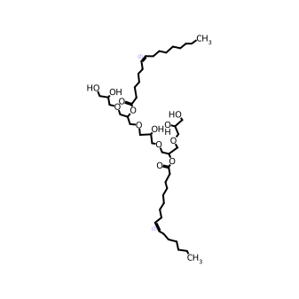 CCCCCC/C=C\CCCCCCCC(=O)OC(COCC(O)CO)COCC(O)COCC(COCC(O)CO)OC(=O)CCCCC/C=C\CCCCCCCC